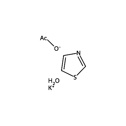 CC(=O)[O-].O.[K+].c1cscn1